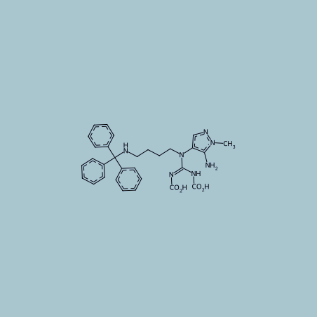 Cn1ncc(N(CCCCNC(c2ccccc2)(c2ccccc2)c2ccccc2)C(=NC(=O)O)NC(=O)O)c1N